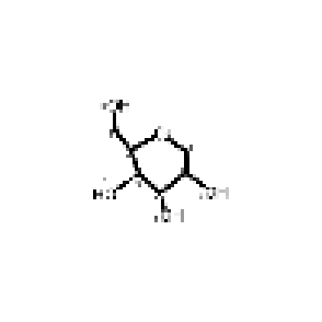 OCC1OCC(O)[C@@H](O)[C@H]1O